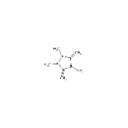 C=C1N(C)C(=C)N(C)N1C